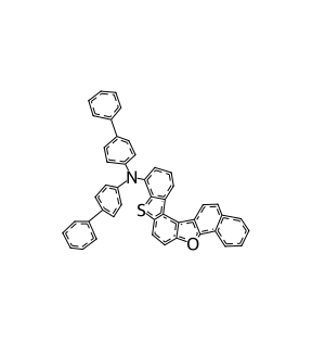 c1ccc(-c2ccc(N(c3ccc(-c4ccccc4)cc3)c3cccc4c3sc3ccc5oc6c7ccccc7ccc6c5c34)cc2)cc1